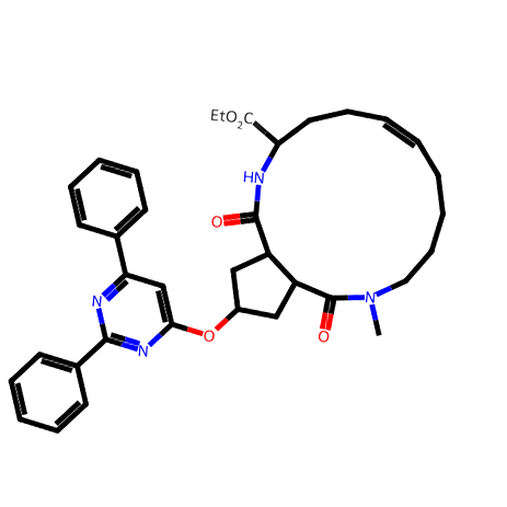 CCOC(=O)C1CCC=CCCCCN(C)C(=O)C2CC(Oc3cc(-c4ccccc4)nc(-c4ccccc4)n3)CC2C(=O)N1